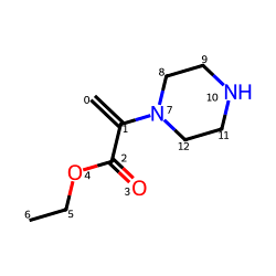 C=C(C(=O)OCC)N1CCNCC1